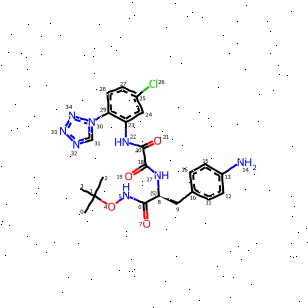 CC(C)(C)ONC(=O)[C@H](Cc1ccc(N)cc1)NC(=O)C(=O)Nc1cc(Cl)ccc1-n1cnnn1